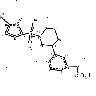 O=C(O)Cc1cccc(C2CCCN(S(=O)(=O)c3ccc(Cl)s3)C2)c1